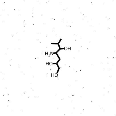 CC(C)C(O)C(N)CC(O)CO